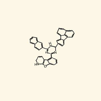 C1=Cc2c(oc3cccc(C4=NC(c5ccc6c(c5)-c5cccc7cccc-6c57)NC(c5ccc6ccccc6c5)=N4)c23)NC1